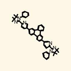 CC1(C)N=C(c2ccc(-c3ccc4c5ccc(-c6ccc(C7=NC(C)(C)C(C)(C)N7c7ccccc7)nc6)cc5c5ccccc5c4c3)cn2)N(c2ccccc2)C1(C)C